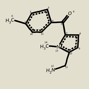 Cc1ccc(C(=O)c2ccc(CN)n2C)cc1